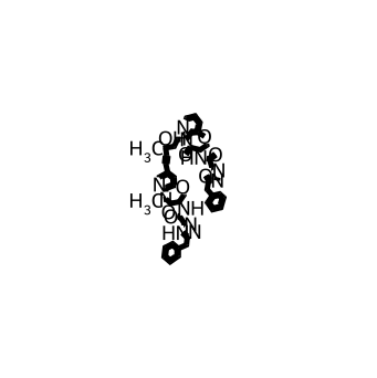 CN1C(=O)[C@@H](NC(=O)c2nnc(Cc3ccccc3)[nH]2)COc2cc(C#CC(C)(O)CCN3C(=O)[C@@H](NC(=O)c4nnc(Cc5ccccc5)o4)COc4cccnc43)cnc21